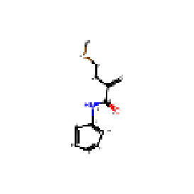 C=C(CCSC)C(=O)Nc1ccccc1